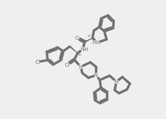 O=C(N[C@H](Cc1ccc(Cl)cc1)C(=O)N1CCN(C(CN2CCCCC2)c2ccccc2)CC1)[C@H]1Cc2ccccc2CN1